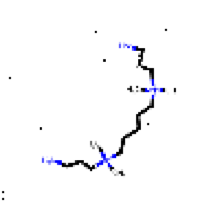 C[N+](C)(CCCN)CCCCC[N+](C)(C)CCCN